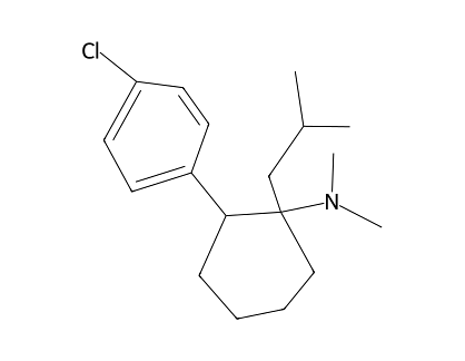 CC(C)CC1(N(C)C)CCCCC1c1ccc(Cl)cc1